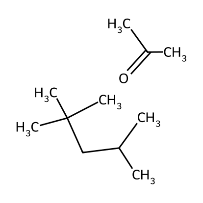 CC(C)=O.CC(C)CC(C)(C)C